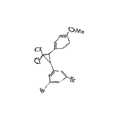 COc1ccc(C2C(c3cc(Br)cc(Br)c3)C2(Cl)Cl)cc1